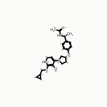 CC(=O)N[C@@H](C)c1ccc(O[C@@H]2CCN(C3=CCNC(OCC4CC4)=C3Cl)C2)cc1